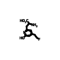 NC(Cc1cc(CCF)cc(O)n1)C(=O)O